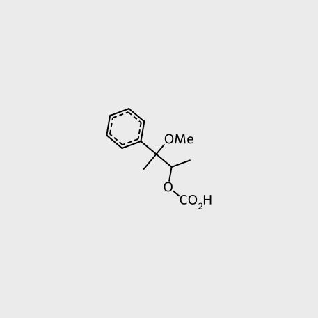 COC(C)(c1ccccc1)C(C)OC(=O)O